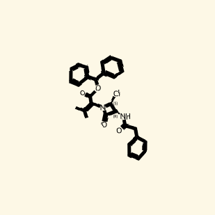 CC(C)=C(C(=O)OC(c1ccccc1)c1ccccc1)N1C(=O)[C@@H](NC(=O)Cc2ccccc2)[C@@H]1Cl